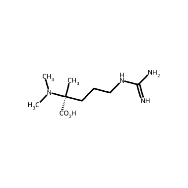 CN(C)[C@@](C)(CCCNC(=N)N)C(=O)O